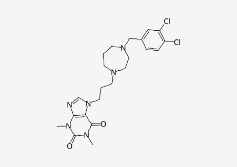 Cn1c(=O)c2c(ncn2CCCN2CCCN(Cc3ccc(Cl)c(Cl)c3)CC2)n(C)c1=O